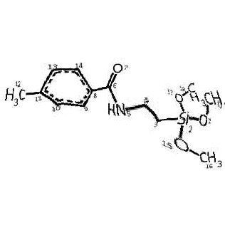 CO[Si](CCNC(=O)c1ccc(C)cc1)(OC)OC